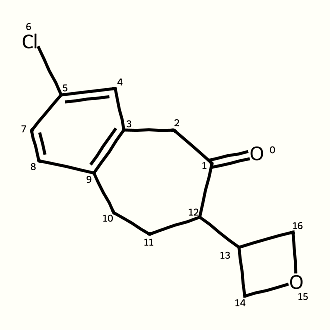 O=C1Cc2cc(Cl)ccc2CCC1C1COC1